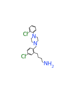 NCCCCc1cc(Cl)ccc1CN1CCN(c2ccccc2Cl)CC1